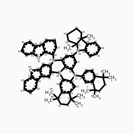 CC1(C)CCC(C)(C)c2cc(N3c4cc5c(cc4B4c6cc7c(cc6N(c6cccc8c6oc6ccccc68)c6cc(N8c9ccccc9C9(C)CCCCC89C)cc3c64)oc3ccccc37)C(C)(C)CCC5(C)C)ccc21